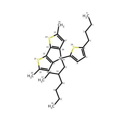 CCCCc1ccc([Si]2(CC(CC)CCCC)c3cc(C)sc3-c3sc(C)cc32)s1